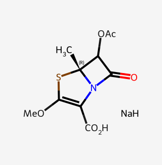 COC1=C(C(=O)O)N2C(=O)C(OC(C)=O)[C@@]2(C)S1.[NaH]